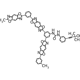 Cc1cccc(-c2nc3cc4oc(-c5cc(NC(=O)Nc6cccc(C#CC(C)(C)O)c6)cc(-c6nc7cc8oc(-c9cccc(-c%10nc%11cc%12oc(C)nc%12cc%11o%10)c9)nc8cc7o6)c5)nc4cc3o2)c1